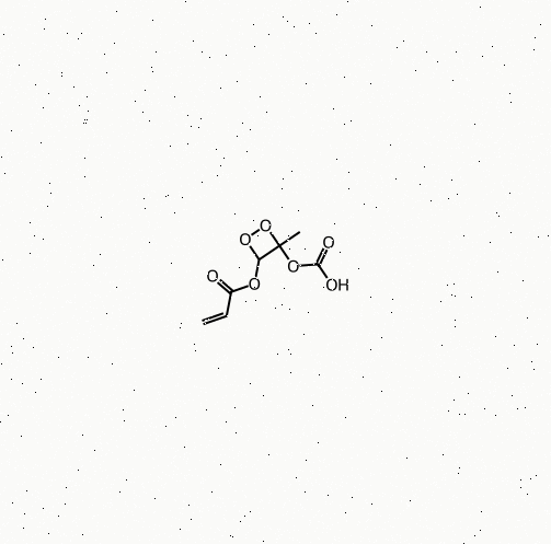 C=CC(=O)OC1OOC1(C)OC(=O)O